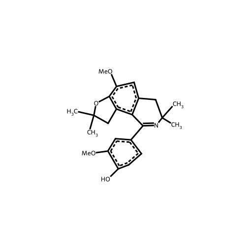 COc1cc(C2=NC(C)(C)Cc3cc(OC)c4c(c32)CC(C)(C)O4)ccc1O